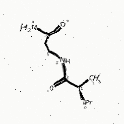 CC(C)[C@H](C)C(=O)NCC(N)=O